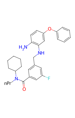 CCCN(C(=O)c1cc(F)cc(CNc2cc(Oc3ccccc3)ccc2N)c1)C1CCCCC1